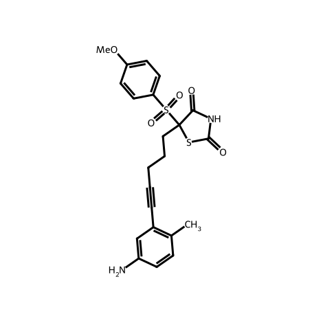 COc1ccc(S(=O)(=O)C2(CCCC#Cc3cc(N)ccc3C)SC(=O)NC2=O)cc1